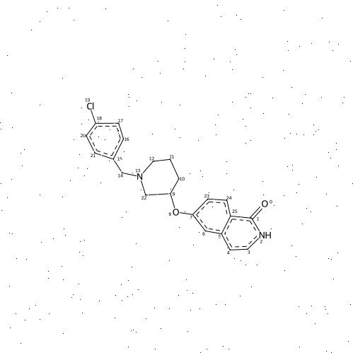 O=c1[nH]ccc2cc(OC3CCCN(Cc4ccc(Cl)cc4)C3)ccc12